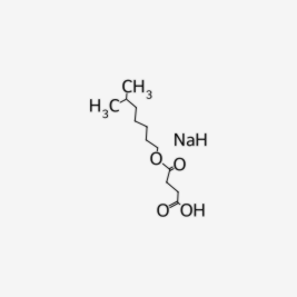 CC(C)CCCCCOC(=O)CCC(=O)O.[NaH]